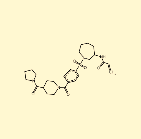 C=CC(=O)NC1CCCCN(S(=O)(=O)c2ccc(C(=O)N3CCC(C(=O)N4CCCC4)CC3)cc2)C1